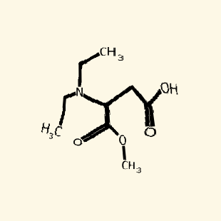 CCN(CC)C(CC(=O)O)C(=O)OC